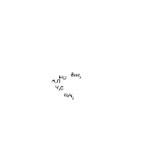 Cl.O.O.[BaH2].[BaH2]